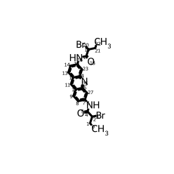 CCC(Br)C(=O)Nc1ccc2cc3ccc(NC(=O)C(Br)CC)cc3nc2c1